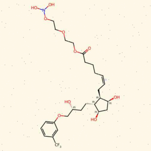 O=C(CCC/C=C\C[C@@H]1[C@@H](CC[C@@H](O)COc2cccc(C(F)(F)F)c2)[C@H](O)C[C@@H]1O)OCCOCCON(O)O